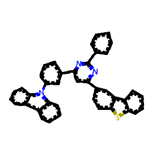 c1ccc(-c2nc(-c3cccc(-n4c5ccccc5c5ccccc54)c3)cc(-c3ccc4sc5ccccc5c4c3)n2)cc1